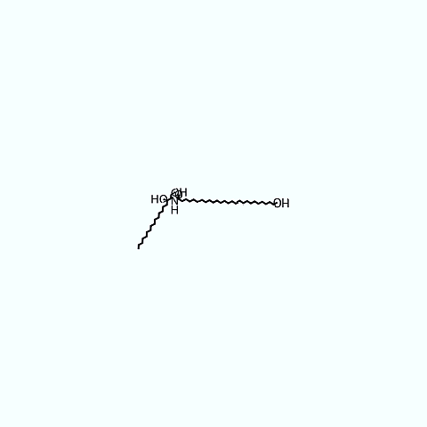 CCCCCCCCCCCCCCCC(O)C(CO)NC(=O)CCCCCCCCCCCCCCCCCCCCCCCCCO